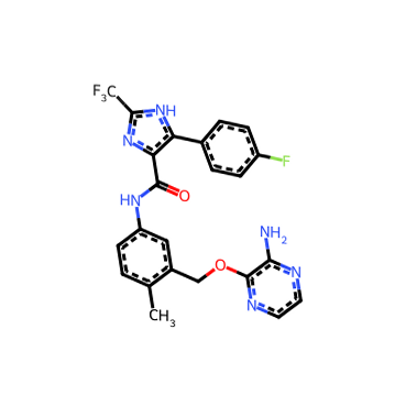 Cc1ccc(NC(=O)c2nc(C(F)(F)F)[nH]c2-c2ccc(F)cc2)cc1COc1nccnc1N